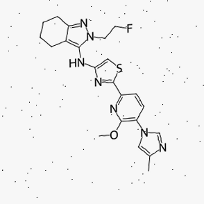 COc1nc(-c2nc(Nc3c4c(nn3CCF)CCCC4)cs2)ccc1-n1cnc(C)c1